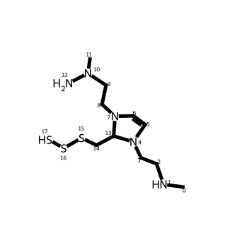 CNCCN1C=CN(CCN(C)N)C1CSSS